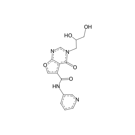 O=C(Nc1cccnc1)c1coc2ncn(CC(O)CO)c(=O)c12